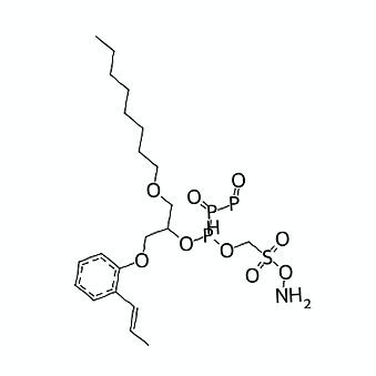 CC=Cc1ccccc1OCC(COCCCCCCCC)OP(OCS(=O)(=O)ON)[PH](=O)P=O